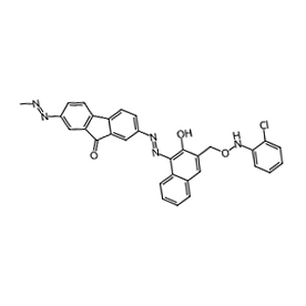 CN=Nc1ccc2c(c1)C(=O)c1cc(N=Nc3c(O)c(CONc4ccccc4Cl)cc4ccccc34)ccc1-2